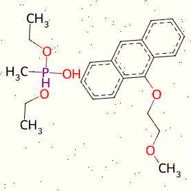 CCO[PH](C)(O)OCC.COCCOc1c2ccccc2cc2ccccc12